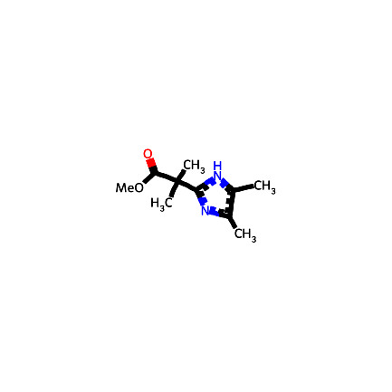 COC(=O)C(C)(C)c1nc(C)c(C)[nH]1